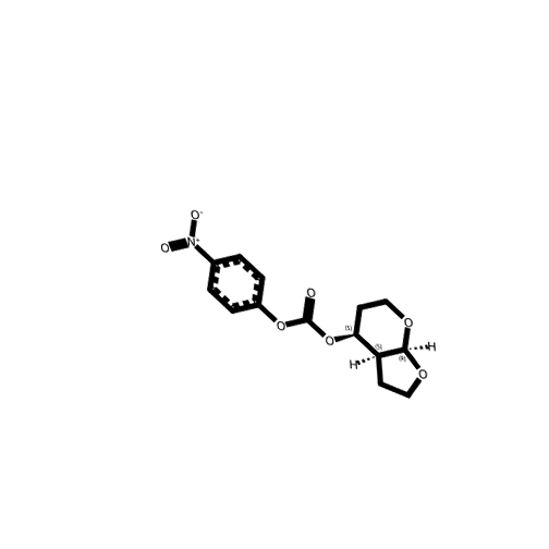 O=C(Oc1ccc([N+](=O)[O-])cc1)O[C@H]1CCO[C@H]2OCC[C@H]21